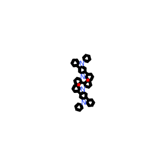 c1ccc(-n2c3ccccc3c3cc4c(cc32)c2ccccc2n4-c2ccccc2-c2ccccc2-n2c3ccccc3c3cc4c(cc32)c2ccccc2n4-c2ccccc2)cc1